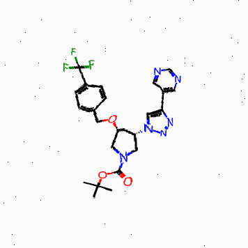 CC(C)(C)OC(=O)N1C[C@@H](n2cc(-c3cncnc3)nn2)[C@H](OCc2ccc(C(F)(F)F)cc2)C1